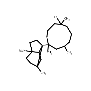 CCC1(C)CCCC(C)CC(C)([C@]23CCC4(NC)CCC2(C)CC43)CCC1